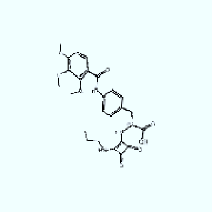 CCCNc1c(N[C@@H](Cc2ccc(NC(=O)c3ccc(OC)c(OC)c3OC)cc2)C(=O)O)c(=O)c1=O